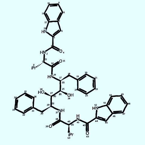 CC(C)[C@H](NC(=O)c1cc2ccccc2[nH]1)C(=O)N[C@@H](Cc1ccccc1)[C@@H](O)[C@H](O)[C@H](Cc1ccccc1)NC(=O)[C@@H](NC(=O)c1cc2ccccc2[nH]1)C(C)C